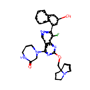 O=C1CN(c2nc(OCC34CCCN3CCC4)nc3c(F)c(-c4cc(O)cc5ccccc45)ncc23)CCCN1